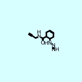 C#CCNC(=O)C1CC=CCC1NN=N